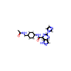 CC(=O)NCC1CCC(NC(=O)c2nc(-n3ccnc3)nc3cn[nH]c23)CC1